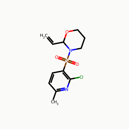 C=CC1OCCCN1S(=O)(=O)c1ccc(C)nc1Cl